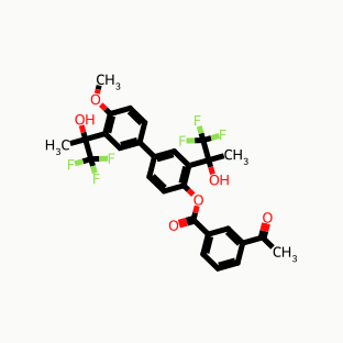 COc1ccc(-c2ccc(OC(=O)c3cccc(C(C)=O)c3)c(C(C)(O)C(F)(F)F)c2)cc1C(C)(O)C(F)(F)F